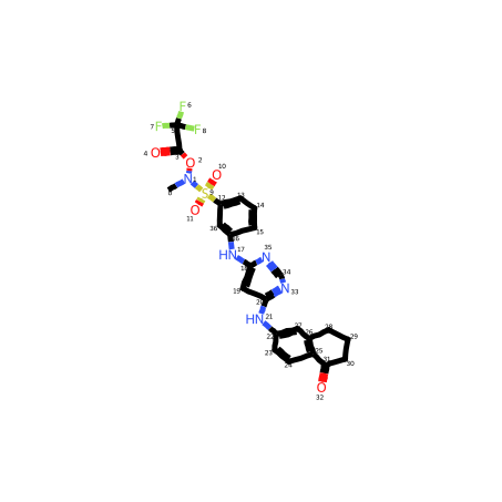 CN(OC(=O)C(F)(F)F)S(=O)(=O)c1cccc(Nc2cc(Nc3ccc4c(c3)CCCC4=O)ncn2)c1